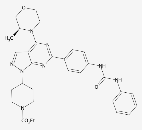 CCOC(=O)N1CCC(n2ncc3c(N4CCOC[C@@H]4C)nc(-c4ccc(NC(=O)Nc5ccccc5)cc4)nc32)CC1